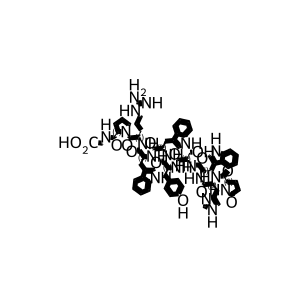 N=C(N)NCCC[C@H](NC(=O)[C@H](Cc1c[nH]c2ccccc12)NC(=O)[C@@H](Cc1c[nH]c2ccccc12)NC(=O)[C@H](Cc1ccc(O)cc1)NC(=O)[C@H](CO)NC(=O)[C@H](Cc1c[nH]c2ccccc12)NC(=O)[C@H](Cc1c[nH]cn1)NC(=O)[C@@H]1CCC(=O)N1)C(=O)N1CCC[C@H]1C(=O)NCC(=O)O